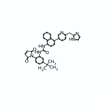 CC(C)(C)c1ccc(N2C(=O)C=CC2=O)c(NC(=O)Nc2ccc(-c3ccc(Cc4ncc[nH]4)nc3)c3ccccc23)c1